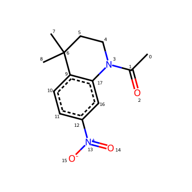 CC(=O)N1CCC(C)(C)c2ccc([N+](=O)[O-])cc21